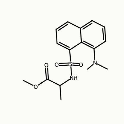 COC(=O)C(C)NS(=O)(=O)c1cccc2cccc(N(C)C)c12